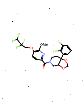 COc1nc(C(=O)N2CCC3(c4cccc(F)c4F)OCOC3C2)ccc1OCC(F)(F)C(F)F